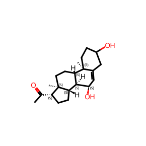 CC(=O)[C@H]1CC[C@H]2[C@@H]3[C@H](O)C=C4CC(O)CC[C@]4(C)[C@H]3CC[C@]12C